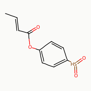 CC=CC(=O)Oc1ccc([SH](=O)=O)cc1